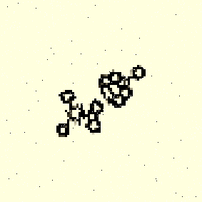 c1ccc(-c2nc(-c3ccccc3)nc(-n3c4ccccc4c4cc(-n5c6ccc7ccc8c9c7c6c6c7c(ccc(c79)n8-c7ccccc7)ccc65)ccc43)n2)cc1